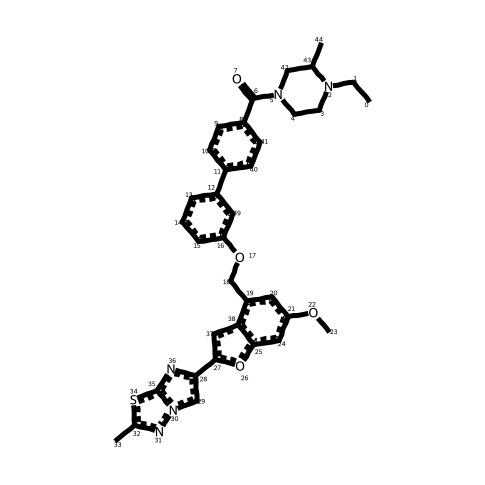 CCN1CCN(C(=O)c2ccc(-c3cccc(OCc4cc(OC)cc5oc(-c6cn7nc(C)sc7n6)cc45)c3)cc2)CC1C